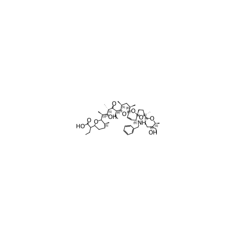 CCC(C(=O)O)C1CC[C@H](C)C([C@@H](C)[C@H](O)[C@H](C)C(=O)[C@H](CC)[C@H]2O[C@]3(C=C[C@@H](NCc4ccccc4)[C@]4(CC[C@@](C)([C@H]5CC[C@](O)(CC)[C@H](C)O5)O4)O3)[C@H](C)C[C@@H]2C)O1